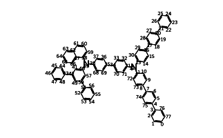 c1ccc(-c2ccc(-c3ccc(N(c4ccc(-c5ccc(-c6ccccc6)cc5)cc4)c4ccc(-c5ccc(N(c6cc(-c7ccccc7)cc(-c7ccccc7)c6)c6cccc7ccccc67)cc5)cc4)cc3)cc2)cc1